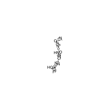 Cc1cc(C(=O)N2CCN(C3CC(C(=O)Nc4cc5cc(-c6cnc(CO[C@H]7CC(F)(F)C[C@@H]7O)nc6)ccn5n4)C3)[C@@H](C)C2)ccn1